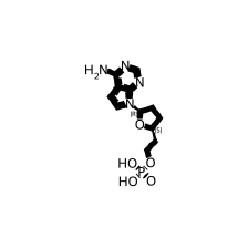 Nc1ncnc2c1ccn2[C@H]1CC[C@@H](CCOP(=O)(O)O)O1